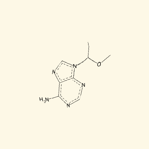 COC(C)n1cnc2c(N)ncnc21